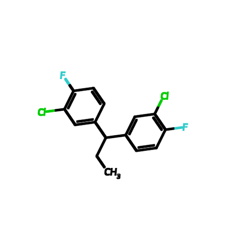 CCC(c1ccc(F)c(Cl)c1)c1ccc(F)c(Cl)c1